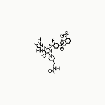 COc1c(Nc2cc(C)[nH]n2)nc(Sc2ccc(S(=O)(=O)Cc3cccc([N+](=O)[O-])c3F)cc2F)nc1N1CCC(CCNC(C)=O)CC1